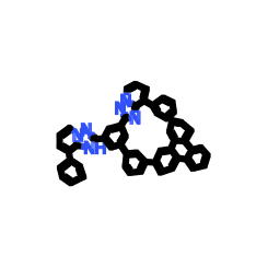 C1=CN2N=C(c3cc(-c4cccc(-c5ccc6c7ccccc7c7ccccc7c6c5)c4)cc(-c4nc5c(-c6ccccc6)cccn5n4)c3)NC2C(c2ccccc2)=C1